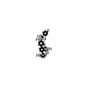 O=C(Nc1ccc(F)cc1)Nc1ccc(-c2ccc(-c3ncc[nH]3)c3c2CNC3=O)c(F)c1